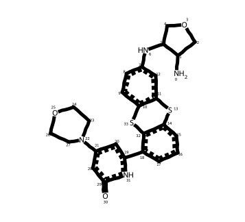 NC1COCC1Nc1ccc2c(c1)Sc1cccc(-c3cc(N4CCOCC4)cc(=O)[nH]3)c1S2